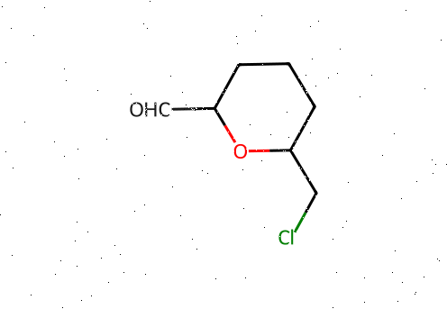 O=CC1CCCC(CCl)O1